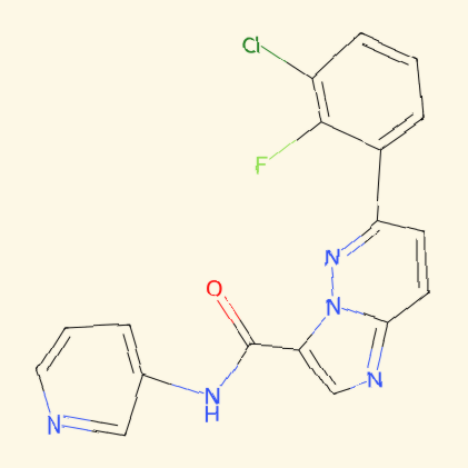 O=C(Nc1cccnc1)c1cnc2ccc(-c3cccc(Cl)c3F)nn12